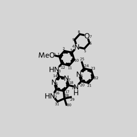 COc1cc(N2CCOCC2)ccc1Nc1nc2c(c(Nc3cccc(C)n3)n1)C(C)(C)CN2